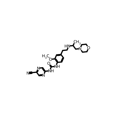 COc1cc(CCNC(C)CN2CCOCC2)ccc1NC(=O)Nc1cnc(C#N)cn1